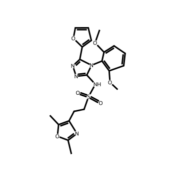 COc1cccc(OC)c1-n1c(NS(=O)(=O)CCc2nc(C)oc2C)nnc1-c1ccco1